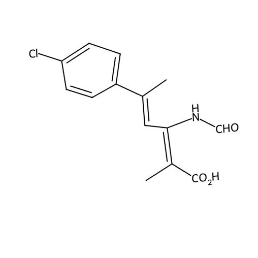 C/C(C(=O)O)=C(\C=C(/C)c1ccc(Cl)cc1)NC=O